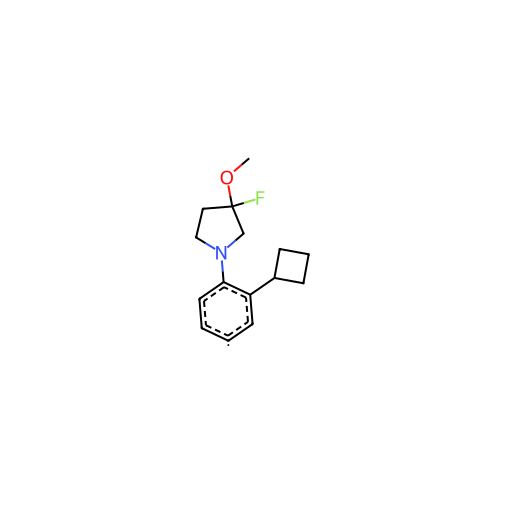 COC1(F)CCN(c2cc[c]cc2C2CCC2)C1